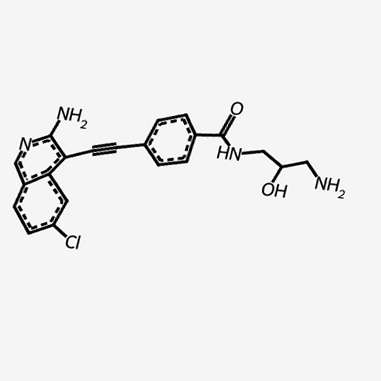 NCC(O)CNC(=O)c1ccc(C#Cc2c(N)ncc3ccc(Cl)cc23)cc1